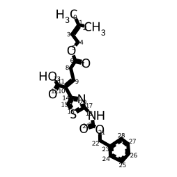 CC(C)=CCOC(=O)CC=C(C(=O)O)c1csc(NC(=O)OCc2ccccc2)n1